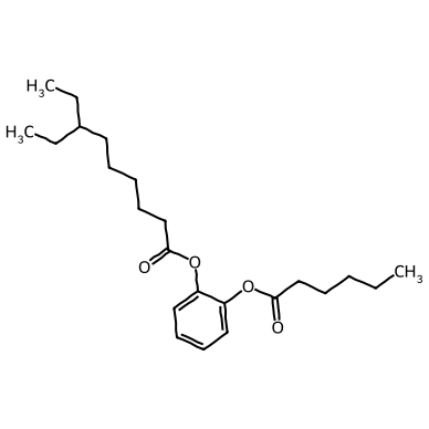 CCCCCC(=O)Oc1ccccc1OC(=O)CCCCCC(CC)CC